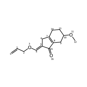 C=CCO/C=C1\CC2=C(CC(OC)CC2)C1=O